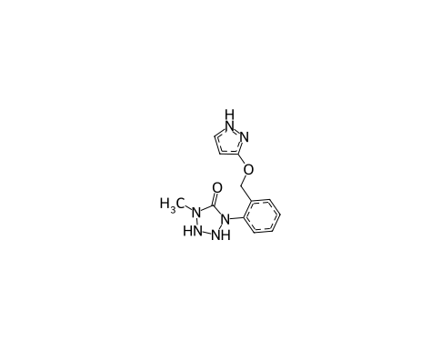 CN1NNN(c2ccccc2COc2cc[nH]n2)C1=O